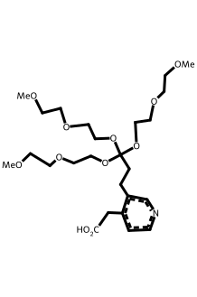 COCCOCCOC(CCc1cnccc1CC(=O)O)(OCCOCCOC)OCCOCCOC